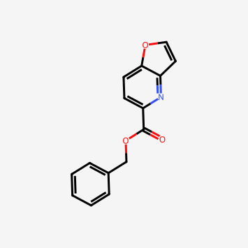 O=C(OCc1ccccc1)c1ccc2occc2n1